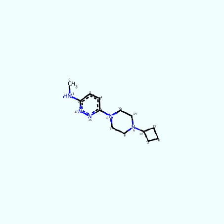 CNc1ccc(N2CCN(C3CCC3)CC2)nn1